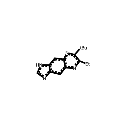 CCc1nc2cc3nc[nH]c3cc2nc1C(C)(C)C